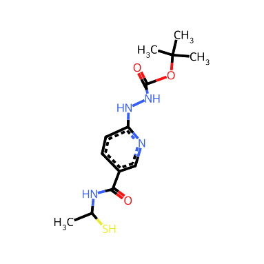 CC(S)NC(=O)c1ccc(NNC(=O)OC(C)(C)C)nc1